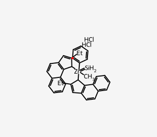 CCC1=Cc2ccc3ccccc3c2[CH]1[Zr]([CH3])(=[SiH2])([c]1ccccc1)[CH]1C(CC)=Cc2ccc3ccccc3c21.Cl.Cl